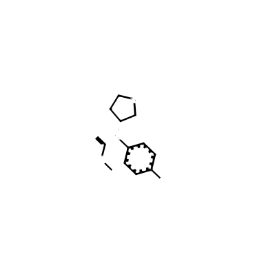 COC=O.Fc1ccc(N[C@@H]2CCNC2)cc1